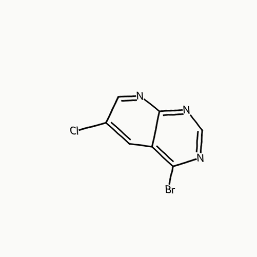 Clc1cnc2ncnc(Br)c2c1